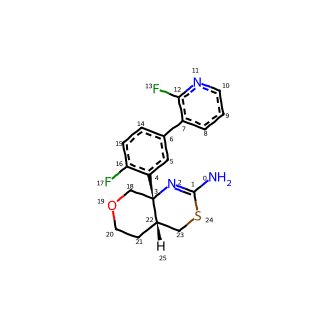 NC1=N[C@@]2(c3cc(-c4cccnc4F)ccc3F)COCC[C@H]2CS1